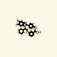 O=C(O)c1cccc(OCC(C2CCCCC2)n2c(-c3ccc(Cl)cc3)nc3cc(F)c(F)cc32)c1